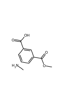 CN.COC(=O)c1cccc(C(=O)O)c1